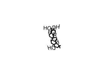 CC1(C)CC(O)[C@]2(C)CC[C@]3(C)C(=CC[C@@H]4[C@@]5(C)CCC(O)[C@](C)(CO)[C@@H]5CC[C@]43C)[C@@H]2C1